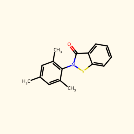 Cc1cc(C)c(-n2sc3ccccc3c2=O)c(C)c1